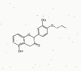 CCCOc1ccc(C2Oc3cccc(O)c3CC2=O)cc1O